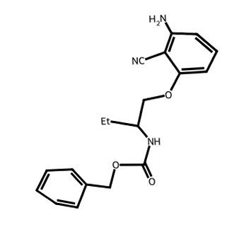 CCC(COc1cccc(N)c1C#N)NC(=O)OCc1ccccc1